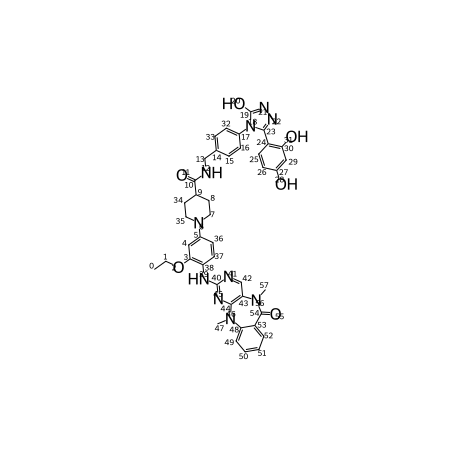 CCOc1cc(N2CCC(C(=O)NCc3ccc(-n4c(O)nnc4-c4ccc(O)cc4O)cc3)CC2)ccc1Nc1ncc2c(n1)N(C)c1ccccc1C(=O)N2C